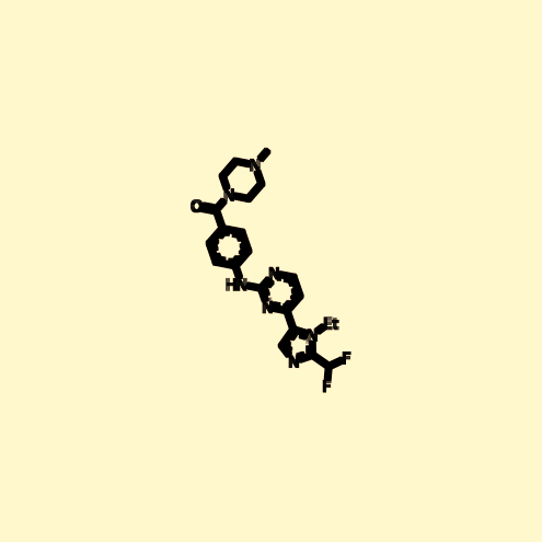 CCn1c(-c2ccnc(Nc3ccc(C(=O)N4CCN(C)CC4)cc3)n2)cnc1C(F)F